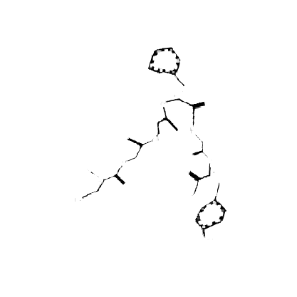 N[C@H](CS)C(=O)NCC(=O)NCC(=O)N[C@H](Cc1ccccc1)C(=O)NCC(=O)N[C@H](Cc1ccc(O)cc1)C(=O)O